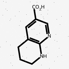 O=C(O)c1cnc2c(c1)CCCN2